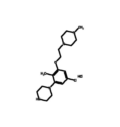 Cc1c(OCCN2CCN(C)CC2)cc(Cl)cc1N1CCNCC1.Cl